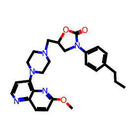 CCCc1ccc(N2CC(CN3CCN(c4ccnc5ccc(OC)nc45)CC3)OC2=O)cc1